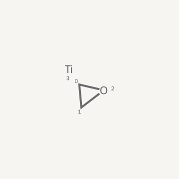 C1CO1.[Ti]